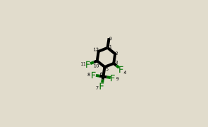 CC1CC(F)C(C(F)(F)F)C(F)C1